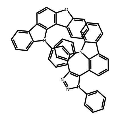 c1ccc(-c2nnn(-c3ccccc3)c2-c2cccc3c4ccccc4n(-c4cccc(-n5c6ccccc6c6ccc7oc8ccccc8c7c65)c4)c23)cc1